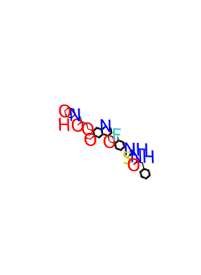 COc1cc2c(Oc3ccc(NC(=S)NC(=O)Cc4ccccc4)cc3F)ccnc2cc1OCC(O)CN1CCOCC1